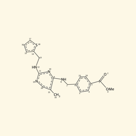 COC(=O)c1ccc(CNc2nc(NCc3cccs3)ncc2C)cc1